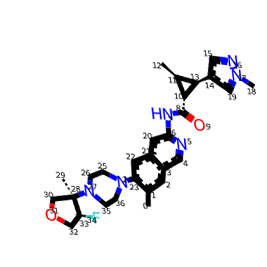 Cc1cc2cnc(NC(=O)[C@@H]3[C@@H](C)[C@H]3c3cnn(C)c3)cc2cc1N1CCN([C@]2(C)COC[C@@H]2F)CC1